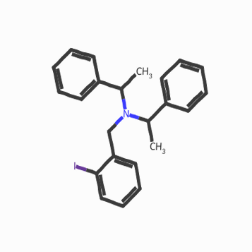 CC(c1ccccc1)N(Cc1ccccc1I)C(C)c1ccccc1